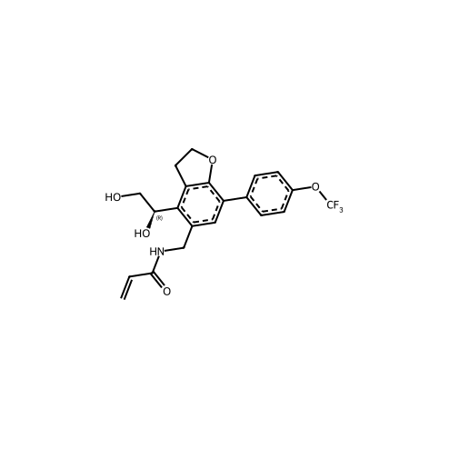 C=CC(=O)NCc1cc(-c2ccc(OC(F)(F)F)cc2)c2c(c1[C@@H](O)CO)CCO2